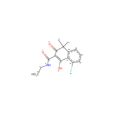 CC1(C)C(=O)C(C(=O)NCC(=O)O)=C(O)c2c(F)cccc21